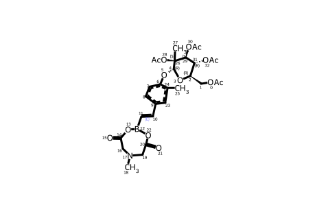 CC(=O)OC[C@H]1O[C@H](Oc2ccc(/C=C/B3OC(=O)CN(C)CC(=O)O3)cc2C)[C@@](C)(OC(C)=O)[C@@H](OC(C)=O)[C@@H]1OC(C)=O